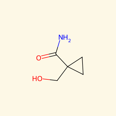 NC(=O)C1(CO)CC1